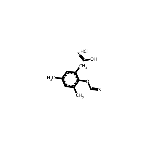 Cc1cc(C)c(OC=S)c(C)c1.Cl.OC=S